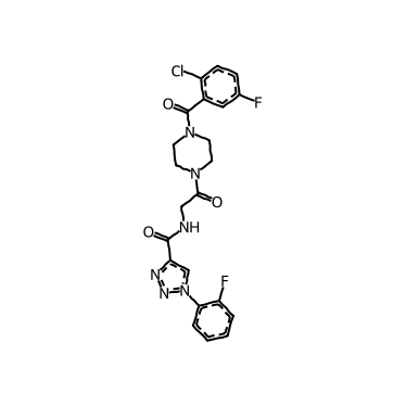 O=C(NCC(=O)N1CCN(C(=O)c2cc(F)ccc2Cl)CC1)c1cn(-c2ccccc2F)nn1